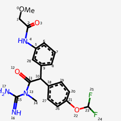 COCC(=O)Nc1cccc(C(C(=O)N(C)C(=N)N)c2ccc(OC(F)F)cc2)c1